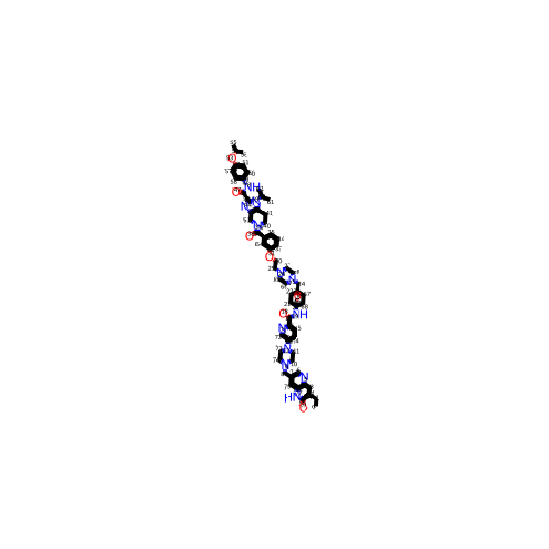 CCc1cc2ncc(CN3CCN(c4ccc(C(=O)NC56CCC(CN7CCN(CCOc8cccc(C(=O)N9CCc%10c(nc(C(=O)Nc%11ccc(OC(C)C)cc%11)n%10C(C)C)C9)c8)CC7)(CC5)OC6)nc4)CC3)cc2[nH]c1=O